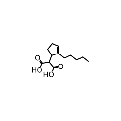 CCCCCC1=CCCC1C(C(=O)O)C(=O)O